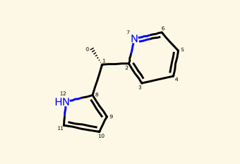 C[C@H](c1ccccn1)c1ccc[nH]1